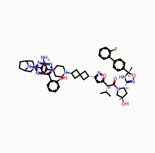 CC(C)[C@@H](C(=O)N1C[C@H](O)C[C@H]1C1=NO[C@@](C)(c2ccc(-c3ccccc3F)cc2)N1)c1cc([C@H]2CC3(C2)C[C@H](N2CCC(c4cnc(N5C6CCC5CN(c5cc(-c7ccccc7O)nnc5N)C6)nc4)CC2)C3)no1